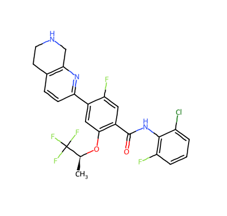 C[C@H](Oc1cc(-c2ccc3c(n2)CNCC3)c(F)cc1C(=O)Nc1c(F)cccc1Cl)C(F)(F)F